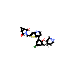 Cc1cc(Cl)cc(-c2ccnc3cc(CN4C(=O)C5CC5C4=O)sc23)c1O[C@H]1CCCNC1